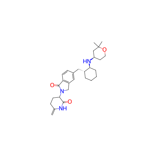 C=C1CCC(N2Cc3cc(C[C@H]4CCCC[C@@H]4N[C@@H]4CCOC(C)(C)C4)ccc3C2=O)C(=O)N1